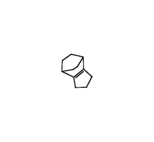 C1CC2=C(C1)C1CCC2CC1